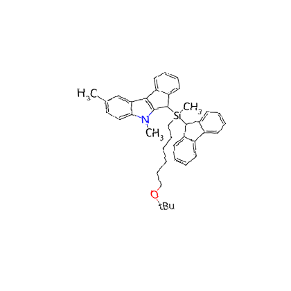 Cc1ccc2c(c1)c1c(n2C)C([Si](C)(CCCCCCOC(C)(C)C)C2c3ccccc3-c3ccccc32)c2ccccc2-1